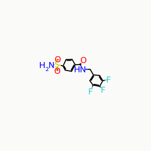 NS(=O)(=O)c1ccc(C(=O)NCc2cc(F)c(F)c(F)c2)cc1